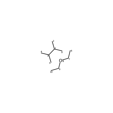 CC(C)C(C)C.CCOCC